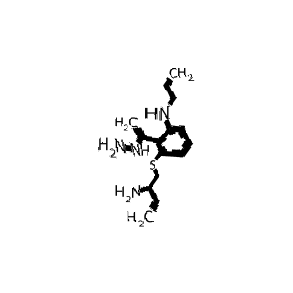 C=CCNc1cccc(SCC(N)C=C)c1C(=C)NN